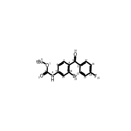 CC(C)(C)OC(=O)Nc1ccc(C(=O)c2ccc(F)cc2)c(Br)c1